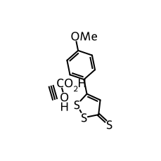 C#C.COc1ccc(-c2cc(=S)ss2)cc1.O=C(O)O